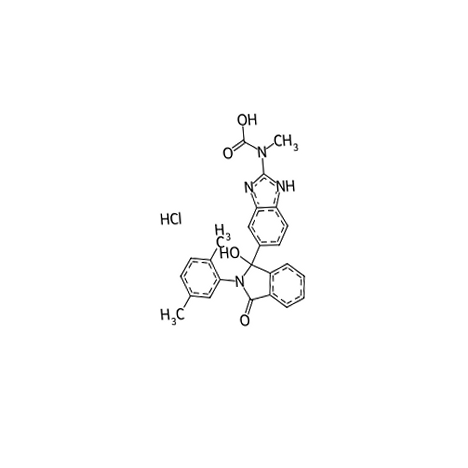 Cc1ccc(C)c(N2C(=O)c3ccccc3C2(O)c2ccc3[nH]c(N(C)C(=O)O)nc3c2)c1.Cl